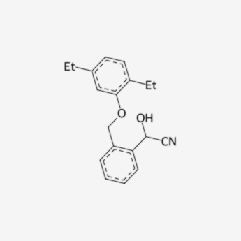 CCc1ccc(CC)c(OCc2ccccc2C(O)C#N)c1